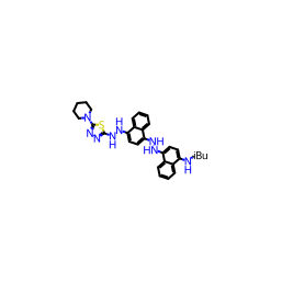 CCC(C)Nc1ccc(NNc2ccc(NNc3nnc(N4CCCCC4)s3)c3ccccc23)c2ccccc12